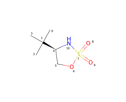 CC(C)(C)[C@@H]1COS(=O)(=O)N1